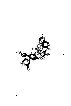 COc1cc(N2CCNC(=O)C2)c(-c2cnn(C)c2)cc1Nc1ncc(Br)c(Nc2ccc3nccnc3c2OP(C)(C)=O)n1